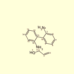 C=CCO.Nc1ccccc1-c1ccccc1N